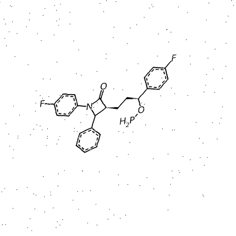 O=C1[C@@H](CC[C@H](OP)c2ccc(F)cc2)C(c2ccccc2)N1c1ccc(F)cc1